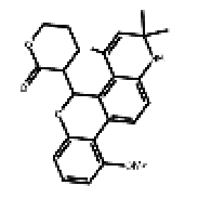 COc1cccc2c1-c1ccc3c(c1C(C1CCCOC1=O)O2)C(C)=CC(C)(C)N3